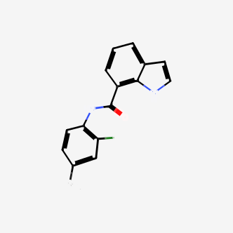 O=C(Nc1ccc([N+](=O)[O-])cc1Cl)c1cccc2cc[nH]c12